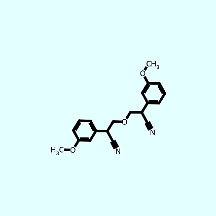 COc1cccc(C(C#N)COCC(C#N)c2cccc(OC)c2)c1